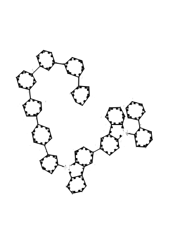 c1ccc(-c2cccc(-c3cccc(-c4cccc(-c5ccc(-c6ccc(-c7cccc(-n8c9ccccc9c9cc(-c%10ccc%11c(c%10)c%10ccccc%10n%11-c%10ccccc%10-c%10ccccc%10)ccc98)c7)cc6)cc5)c4)c3)c2)cc1